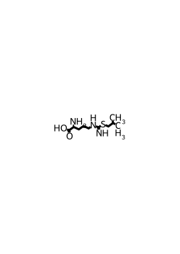 CC(C)CSC(=N)NCCC[C@H](N)C(=O)O